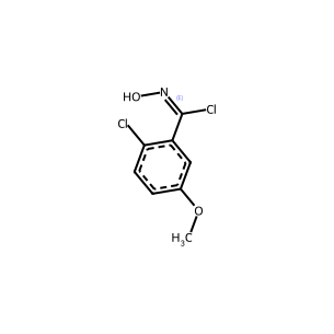 COc1ccc(Cl)c(/C(Cl)=N\O)c1